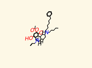 C=CCN1CC[C@]23c4c5c(O)cc(OC(C)=O)c4O[C@H]2[C@H](N(CCCCC)CCCCCCc2ccccc2)CC[C@H]3[C@H]1C5